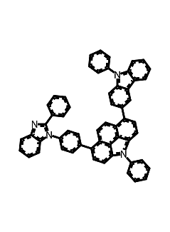 c1ccc(-c2nc3ccccc3n2-c2ccc(-c3ccc4c5c3ccc3c(-c6ccc7c(c6)c6ccccc6n7-c6ccccc6)ccc(c35)n4-c3ccccc3)cc2)cc1